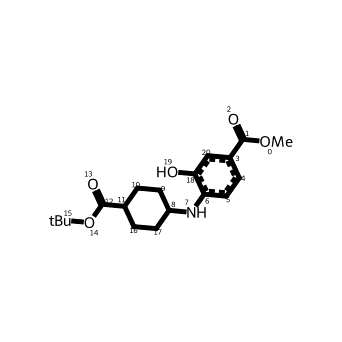 COC(=O)c1ccc(NC2CCC(C(=O)OC(C)(C)C)CC2)c(O)c1